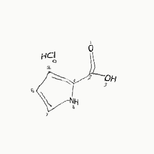 Cl.O=C(O)c1ccc[nH]1